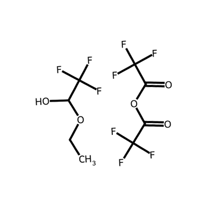 CCOC(O)C(F)(F)F.O=C(OC(=O)C(F)(F)F)C(F)(F)F